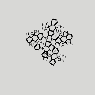 Cc1ccccc1N(c1ccccc1)c1cc2c3c(c1)N(c1ccc4c(c1)C(C)(C)c1ccccc1C4(C)C)c1cc4c(cc1B3c1cc3c(cc1N2c1ccc2c(c1)C(C)(C)c1ccccc1C2(C)C)C(C)(C)c1ccccc1C3(C)C)C(C)(C)c1ccccc1C4(C)C